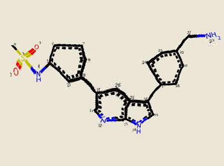 CS(=O)(=O)Nc1cccc(-c2cnc3[nH]cc(-c4ccc(CN)cc4)c3c2)c1